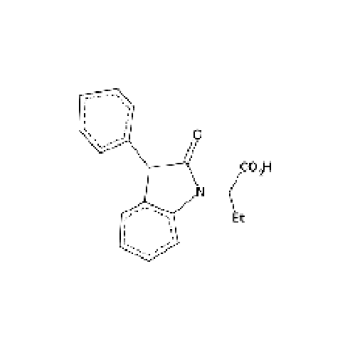 CCC(C(=O)O)N1C(=O)C(c2ccccc2)c2ccccc21